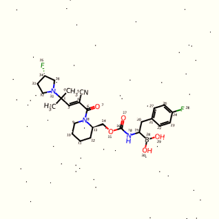 CC(C)(C=C(C#N)C(=O)N1CCCC[C@@H]1COC(=O)NC(Cc1ccc(F)cc1)B(O)O)N1CC[C@H](F)C1